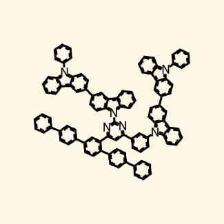 c1ccc(-c2ccc(-c3ccc(-c4ccc(-c5ccccc5)cc4)c(-c4cc(-c5cccc(-n6c7ccccc7c7cc(-c8ccc9c(c8)c8ccccc8n9-c8ccccc8)ccc76)c5)nc(-n5c6ccccc6c6cc(-c7ccc8c(c7)c7ccccc7n8-c7ccccc7)ccc65)n4)c3)cc2)cc1